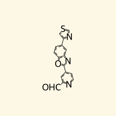 O=Cc1cc(-c2nc3cc(-c4cscn4)ccc3o2)ccn1